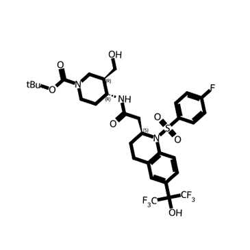 CC(C)(C)OC(=O)N1CC[C@@H](NC(=O)C[C@@H]2CCc3cc(C(O)(C(F)(F)F)C(F)(F)F)ccc3N2S(=O)(=O)c2ccc(F)cc2)[C@H](CO)C1